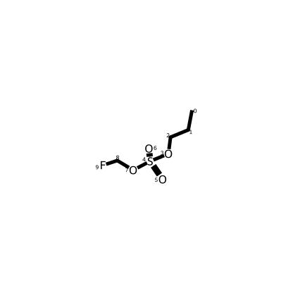 CCCOS(=O)(=O)OCF